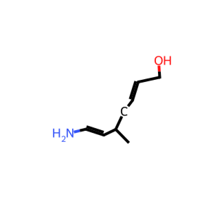 CC(/C=C/N)C/C=C/CO